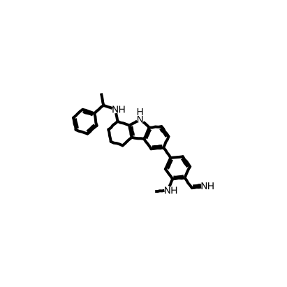 CNc1cc(-c2ccc3[nH]c4c(c3c2)CCCC4NC(C)c2ccccc2)ccc1C=N